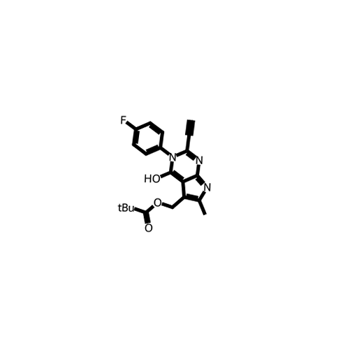 C#Cc1nc2nc(C)c(COC(=O)C(C)(C)C)c-2c(O)n1-c1ccc(F)cc1